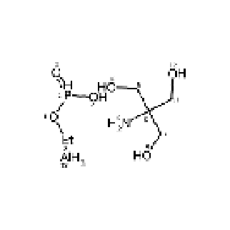 CCO[PH](=O)O.NC(CO)(CO)CO.[AlH3]